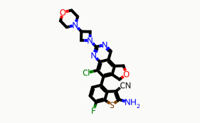 N#Cc1c(N)sc2c(F)ccc(-c3c4c(c5cnc(N6CC(N7CCOCC7)C6)nc5c3Cl)COC4)c12